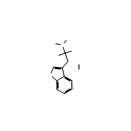 CCC.CN(C)C(C)(Cc1c[nH]c2ccccc12)C(=O)O